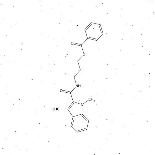 Cn1c(C(=O)NCCCOC(=O)c2ccccc2)c(C=O)c2ccccc21